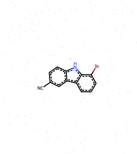 N#Cc1ccc2[nH]c3c(Br)cccc3c2c1